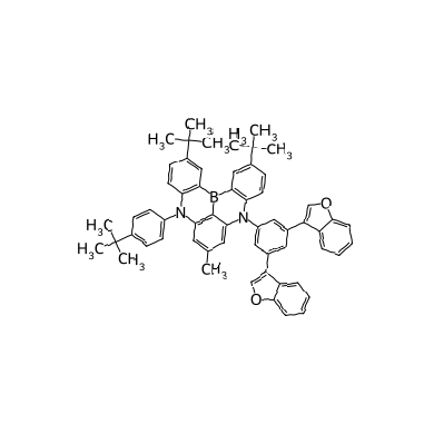 Cc1cc2c3c(c1)N(c1cc(-c4coc5ccccc45)cc(-c4coc5ccccc45)c1)c1ccc(C(C)(C)C)cc1B3c1cc(C(C)(C)C)ccc1N2c1ccc(C(C)(C)C)cc1